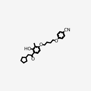 Cc1c(OCCCCOc2ccc(C#N)cc2)ccc(C(=O)CC2CCCC2)c1O